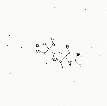 CCOC(CC(OC)[Si](OCC)(OCC)OCC)(NC(N)=O)OCC